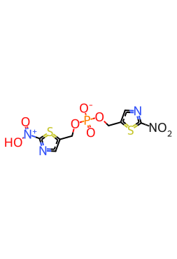 O=[N+]([O-])c1ncc(COP(=O)([O-])OCc2cnc([N+](=O)O)s2)s1